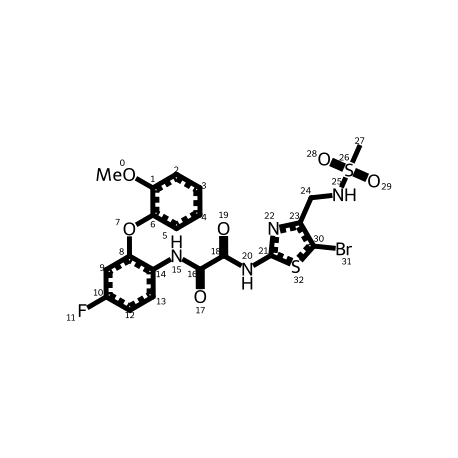 COc1ccccc1Oc1cc(F)ccc1NC(=O)C(=O)Nc1nc(CNS(C)(=O)=O)c(Br)s1